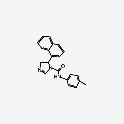 Cc1ccc(NC(=O)N2C=NCC2c2cccc3ccccc23)cc1